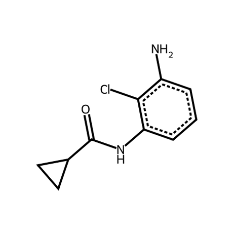 Nc1cccc(NC(=O)C2CC2)c1Cl